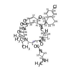 CCN1C/C=C/[C@H](OC(=O)N2CC(NC)C2)[C@@H]2CC[C@H]2CN2C[C@@]3(CCCc4cc(Cl)ccc43)COc3ccc(cc32)S(=O)(=O)NC(=O)C1(C)C